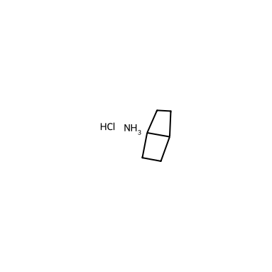 C1CC2CCC12.Cl.N